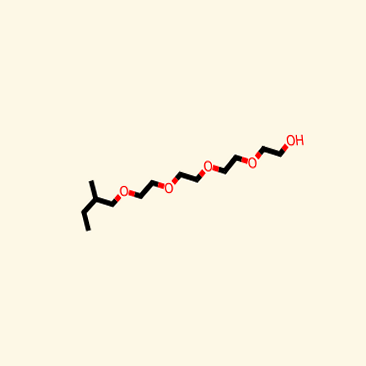 CCC(C)COCCOCCOCCOCCO